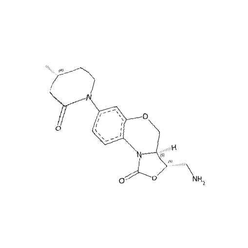 C[C@@H]1CCN(c2ccc3c(c2)OC[C@H]2[C@H](CN)OC(=O)N32)C(=O)C1